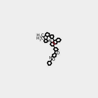 CC1(C)c2ccccc2-c2c(N(c3ccc(-c4ccc5oc6cc7oc(-c8ccccc8)nc7cc6c5c4)cc3)c3ccccc3-c3cccc4ccccc34)cccc21